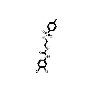 Cc1ccc(S(=O)(=O)NCCNC(=O)Nc2ccc(Cl)c(Cl)c2)cc1